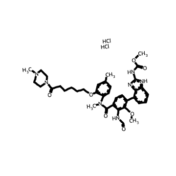 COC(=O)Nc1nc2c(-c3ccc(C(=O)N(C)c4ccc(C)cc4OCCCCCC(=O)N4CCN(C)CC4)c(NC=O)c3OC)cccc2[nH]1.Cl.Cl